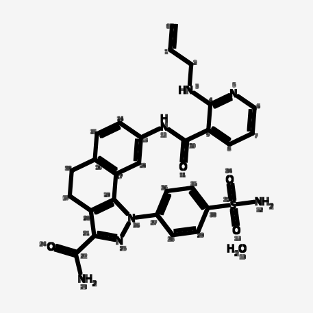 C=CCNc1ncccc1C(=O)Nc1ccc2c(c1)-c1c(c(C(N)=O)nn1-c1ccc(S(N)(=O)=O)cc1)CC2.O